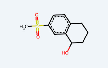 CS(=O)(=O)c1ccc2c(c1)C(O)CCC2